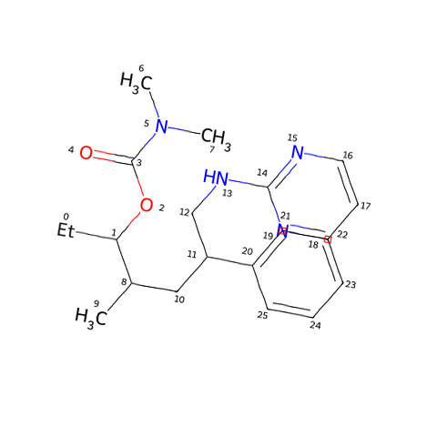 CCC(OC(=O)N(C)C)C(C)CC(CNc1ncccn1)c1ccccc1